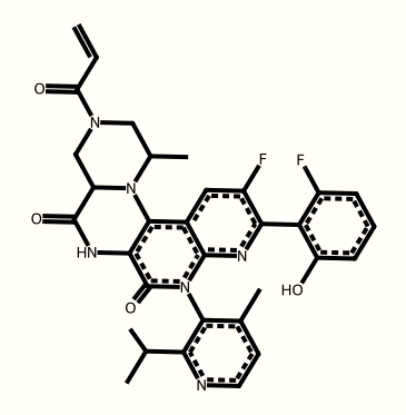 C=CC(=O)N1CC(C)N2c3c(c(=O)n(-c4c(C)ccnc4C(C)C)c4nc(-c5c(O)cccc5F)c(F)cc34)NC(=O)C2C1